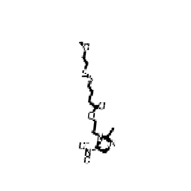 COCCSSCCCC(=O)OCCn1c([N+](=O)[O-])cnc1C